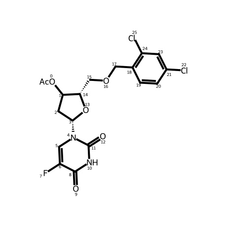 CC(=O)OC1C[C@@H](n2cc(F)c(=O)[nH]c2=O)O[C@H]1COCc1ccc(Cl)cc1Cl